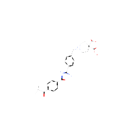 CC(C)C(=O)c1ccc(-c2nc(-c3ccc(CN4CCC(C(=O)O)(C(=O)O)CC4)cc3)no2)cc1